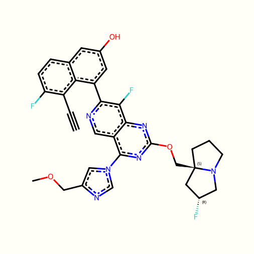 C#Cc1c(F)ccc2cc(O)cc(-c3ncc4c(-n5cnc(COC)c5)nc(OC[C@@]56CCCN5C[C@H](F)C6)nc4c3F)c12